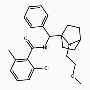 COCCN1C2CCC1(C(NC(=O)c1c(C)cccc1Cl)c1ccccc1)CC2